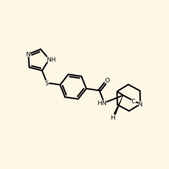 O=C(N[C@H]1CN2CCC1CC2)c1ccc(Sc2cnc[nH]2)cc1